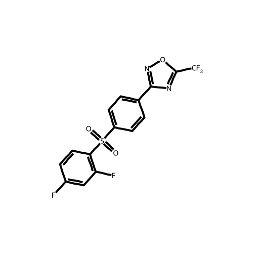 O=S(=O)(c1ccc(-c2noc(C(F)(F)F)n2)cc1)c1ccc(F)cc1F